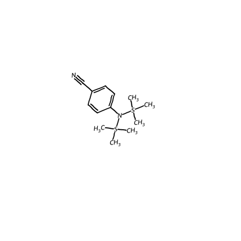 CS(C)(C)N(c1ccc(C#N)cc1)S(C)(C)C